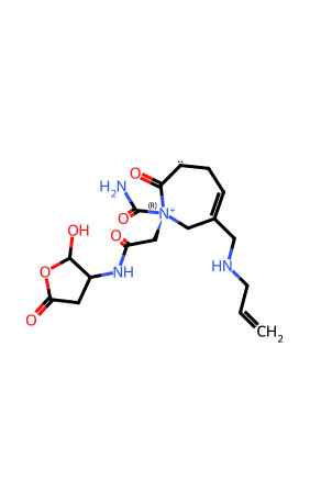 C=CCNCC1=CC[C]C(=O)[N@@+](CC(=O)NC2CC(=O)OC2O)(C(N)=O)C1